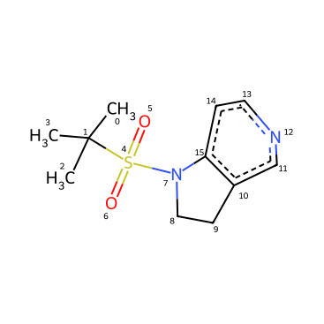 CC(C)(C)S(=O)(=O)N1CCc2cnccc21